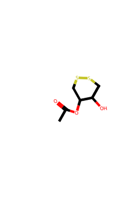 CC(=O)OC1CSSCC1O